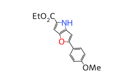 CCOC(=O)c1cc2oc(-c3ccc(OC)cc3)cc2[nH]1